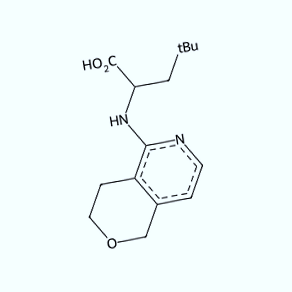 CC(C)(C)CC(Nc1nccc2c1CCOC2)C(=O)O